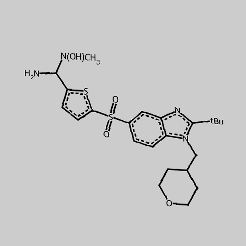 CN(O)C(N)c1ccc(S(=O)(=O)c2ccc3c(c2)nc(C(C)(C)C)n3CC2CCOCC2)s1